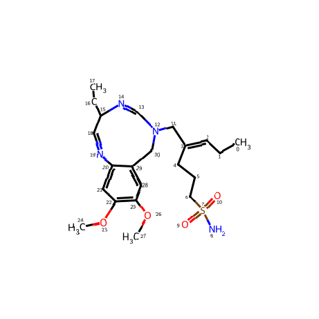 CC/C=C(\CCCS(N)(=O)=O)CN1/C=N\C(CC)/C=N\c2cc(OC)c(OC)cc2C1